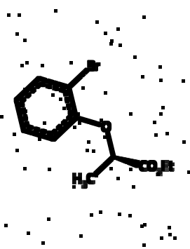 CCOC(=O)[C@@H](C)Oc1ccccc1Br